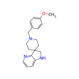 COc1ccc(CN2CCC3(CC2)CNc2cccnc23)cc1